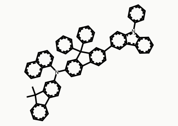 CC1(C)c2ccccc2-c2ccc(N(c3ccc4c(c3)C(c3ccccc3)(c3ccccc3)c3cc(-c5ccc6c(c5)c5ccccc5n6-c5ccccc5)ccc3-4)c3cccc4ccccc34)cc21